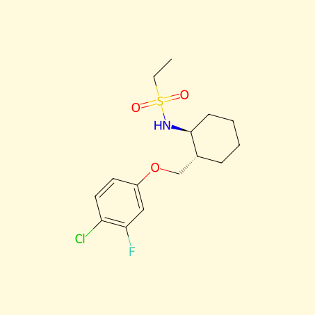 CCS(=O)(=O)N[C@H]1CCCC[C@@H]1COc1ccc(Cl)c(F)c1